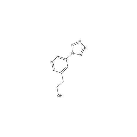 OCCc1cncc(-n2cnnn2)c1